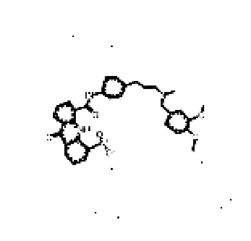 COc1ccc(CN(C)CCCc2ccc(NC(=O)c3cccc4c(=O)c5cccc([N+](=O)[O-])c5[nH]c34)cc2)cc1OC